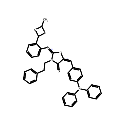 CC1OC(c2ccccc2/N=C2/O/C(=C/c3ccc(N(c4ccccc4)c4ccccc4)cc3)C(=O)N2CCc2ccccc2)O1